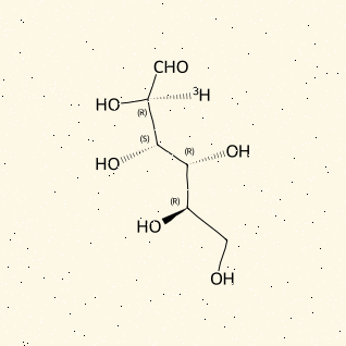 [3H][C@](O)(C=O)[C@@H](O)[C@H](O)[C@H](O)CO